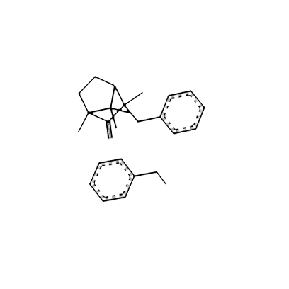 CC1(Cc2ccccc2)C(=O)C2(C)CCC1C2(C)C.OCc1ccccc1